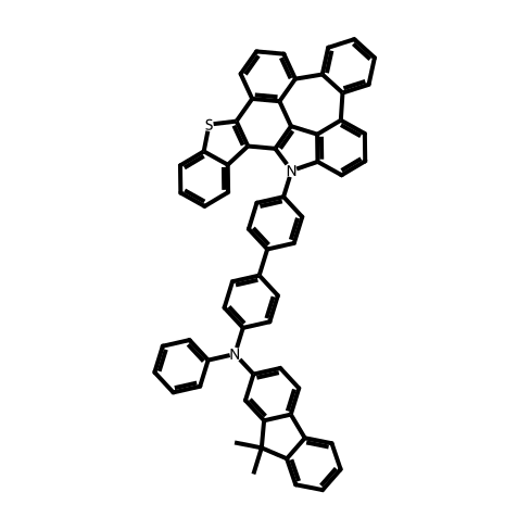 CC1(C)c2ccccc2-c2ccc(N(c3ccccc3)c3ccc(-c4ccc(-n5c6cccc7c6c6c8c(cccc8c8sc9ccccc9c8c65)-c5ccccc5-7)cc4)cc3)cc21